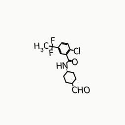 CC(F)(F)c1ccc(Cl)c(C(=O)N[C@H]2CC[C@H](C=O)CC2)c1